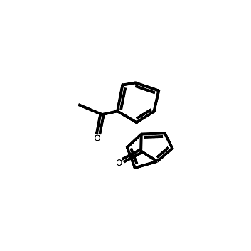 CC(=O)c1ccccc1.O=C1C2=CC=C1C=C2